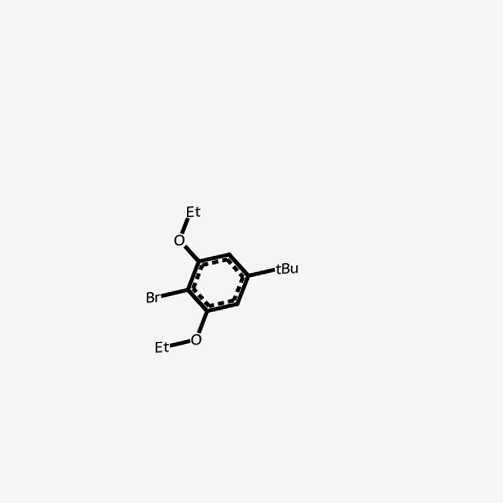 CCOc1cc(C(C)(C)C)cc(OCC)c1Br